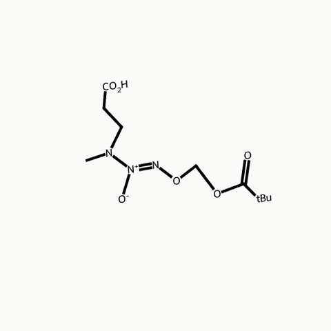 CN(CCC(=O)O)/[N+]([O-])=N/OCOC(=O)C(C)(C)C